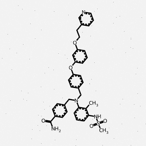 Cc1c(NS(C)(=O)=O)cccc1N(Cc1ccc(Oc2cccc(OCCc3cccnc3)c2)cc1)Cc1ccc(C(N)=O)cc1